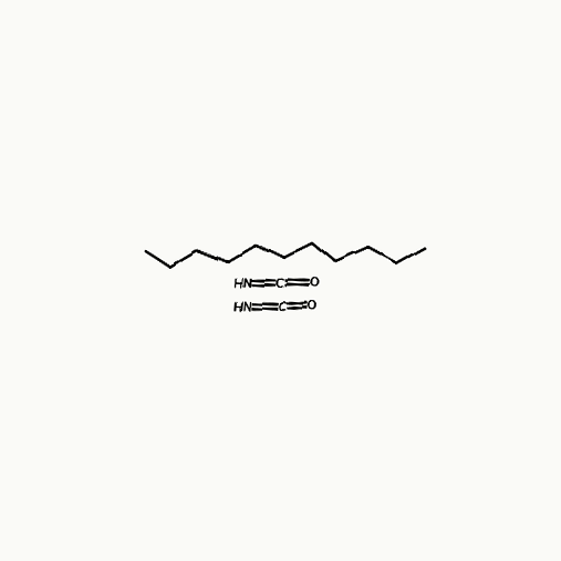 CCCCCCCCCCC.N=C=O.N=C=O